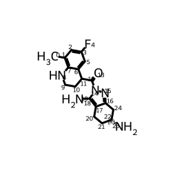 Cc1cc(F)cc2c1NCCC2C(=O)n1nc2c(c1N)CC[C@@H](N)C2